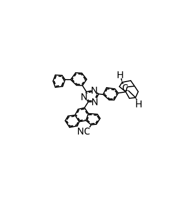 N#Cc1cccc2c(-c3nc(-c4ccc(C56CC7C[C@H](C5)C[C@@H](C7)C6)cc4)nc(-c4cccc(-c5ccccc5)c4)n3)cc3ccccc3c12